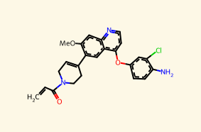 C=CC(=O)N1CC=C(c2cc3c(Oc4ccc(N)c(Cl)c4)ccnc3cc2OC)CC1